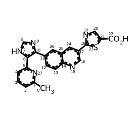 Cc1cccc(-c2[nH]cnc2-c2ccc3ncc(-c4ncc(C(=O)O)s4)cc3c2)n1